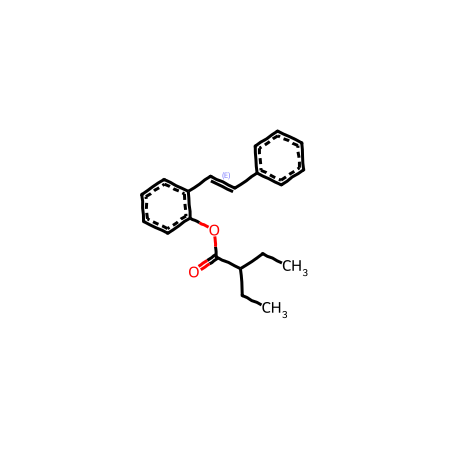 CCC(CC)C(=O)Oc1ccccc1/C=C/c1ccccc1